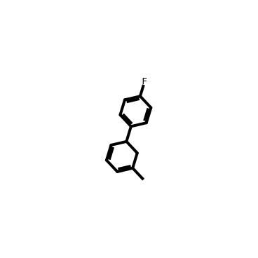 CC1=CC=CC(c2ccc(F)cc2)C1